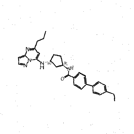 CCCc1cc(N[C@@H]2CC[C@@H](NC(=O)c3ccc(-c4ccc(CC)cc4)cc3)C2)n2nccc2n1